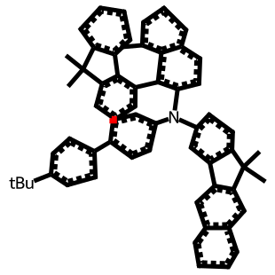 Cc1cccc2ccc(N(c3ccc(-c4ccc(C(C)(C)C)cc4)cc3)c3ccc4c(c3)-c3cc5ccccc5cc3C4(C)C)c(-c3cccc4c3-c3ccccc3C4(C)C)c12